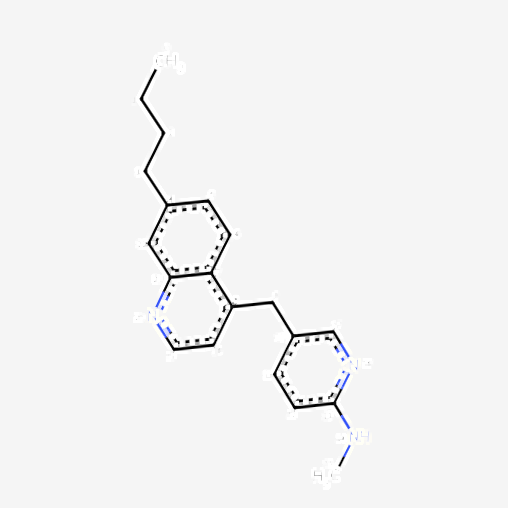 CCCCc1ccc2c(Cc3ccc(NC)nc3)ccnc2c1